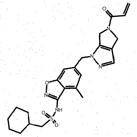 C=CC(=O)N1Cc2cnn(Cc3cc(C)c4c(NS(=O)(=O)CC5CCCCC5)noc4c3)c2C1